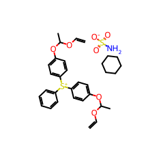 C1CCCCC1.C=COC(C)Oc1ccc([S+](c2ccccc2)c2ccc(OC(C)OC=C)cc2)cc1.NS(=O)(=O)[O-]